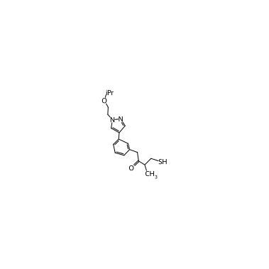 CC(C)OCCn1cc(-c2cccc(CC(=O)C(C)CS)c2)cn1